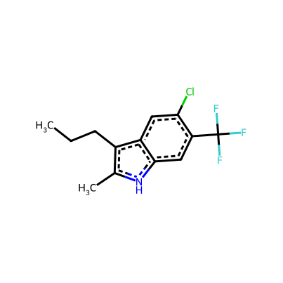 CCCc1c(C)[nH]c2cc(C(F)(F)F)c(Cl)cc12